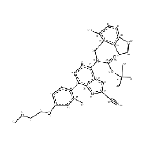 COCCOc1ccc(-c2cnc(N(Cc3c(F)ccc4c3CCO4)C(=O)OC(C)(C)C)n3cc(C#N)nc23)c(C)c1